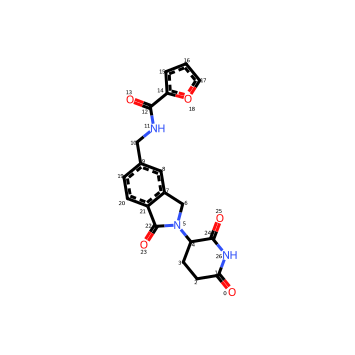 O=C1CCC(N2Cc3cc(CNC(=O)c4ccco4)ccc3C2=O)C(=O)N1